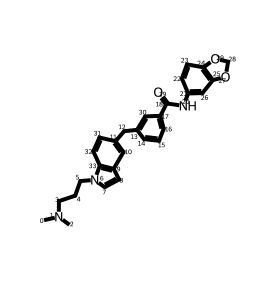 CN(C)CCCn1ccc2cc(Cc3cccc(C(=O)Nc4ccc5c(c4)OCO5)c3)ccc21